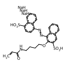 C=CC(=O)NCCCCOc1c(S(=O)(=O)O)cc2ccccc2c1N=Nc1ccc(S(=O)(=O)O)c2ccccc12.[NaH].[NaH].[NaH]